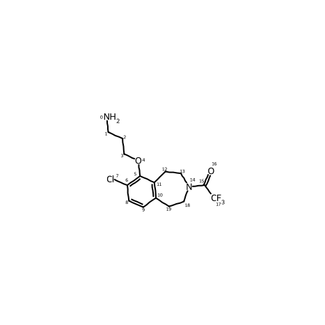 NCCCOc1c(Cl)ccc2c1CCN(C(=O)C(F)(F)F)CC2